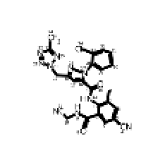 Cc1cc(C#N)cc(C(=O)NCC#N)c1NC(=O)c1cc(Cn2nnc(C(F)(F)F)n2)nn1-c1ccccc1Cl